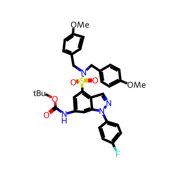 COc1ccc(CN(Cc2ccc(OC)cc2)S(=O)(=O)c2cc(NC(=O)OC(C)(C)C)cc3c2cnn3-c2ccc(F)cc2)cc1